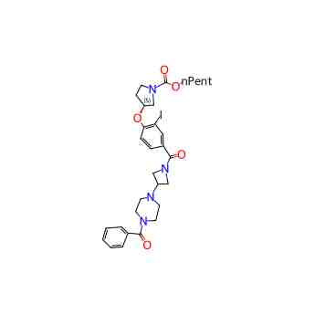 CCCCCOC(=O)N1CC[C@H](Oc2ccc(C(=O)N3CC(N4CCN(C(=O)c5ccccc5)CC4)C3)cc2I)C1